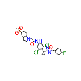 CS(=O)(=O)c1ccc2c(ccn2CC(=O)Nc2cc(Cl)c(C3(c4noc(-c5ccc(F)cc5)n4)CC3)c(Cl)c2)c1